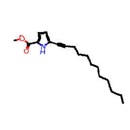 CCCCCCCCCCC#Cc1ccc(C(=O)OC)[nH]1